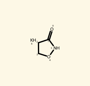 O=C1CCON1.[KH]